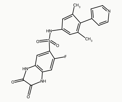 Cc1cc(NS(=O)(=O)c2cc3[nH]c(=O)c(=O)[nH]c3cc2F)cc(C)c1-c1ccncc1